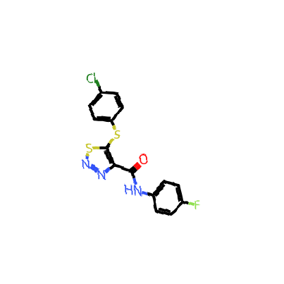 O=C(Nc1ccc(F)cc1)c1nnsc1Sc1ccc(Cl)cc1